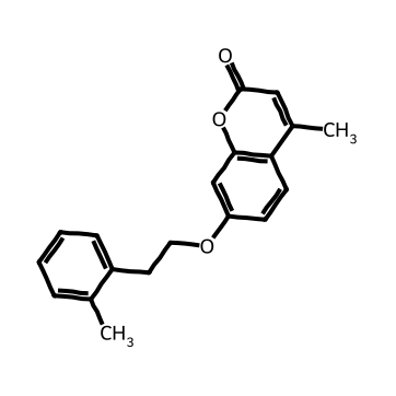 Cc1ccccc1CCOc1ccc2c(C)cc(=O)oc2c1